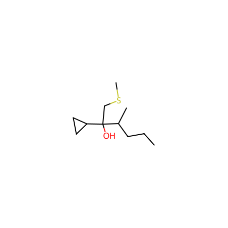 CCCC(C)C(O)(CSC)C1CC1